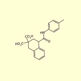 Cc1ccc(NC(=O)C2CC(C(=O)O)(C(=O)O)Cc3ccccc32)cc1